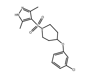 Cc1n[nH]c(C)c1S(=O)(=O)N1CCC(Oc2cccc(Cl)c2)CC1